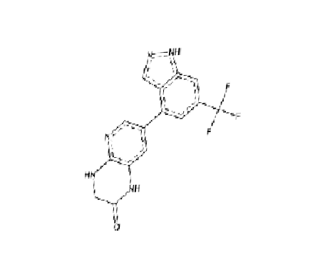 O=C1CNc2ncc(-c3cc(C(F)(F)F)cc4[nH]ncc34)cc2N1